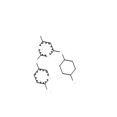 N#Cc1ccc(Nc2nc(NC3CCC(N)CC3)cc(C(F)(F)F)n2)cn1